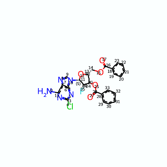 Nc1nc(Cl)nc2c1ncn2[C@H]1O[C@H](COC(=O)c2ccccc2)[C@@H](OC(=O)c2ccccc2)[C@@H]1F